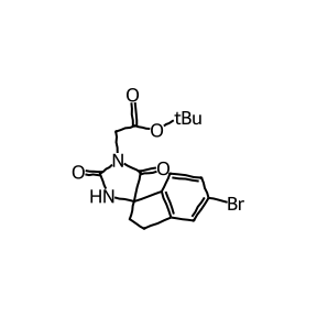 CC(C)(C)OC(=O)CN1C(=O)NC2(CCc3cc(Br)ccc32)C1=O